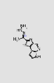 NN/N=C(\N)c1nc2cnc3[nH]ccc3c2[nH]1